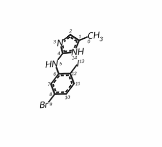 Cc1cnc(Nc2cc(Br)ccc2I)[nH]1